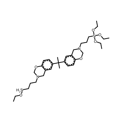 CCO[SiH2]CCCN1COc2ccc(C(C)(C)c3ccc4c(c3)CN(CCC[Si](OCC)(OCC)OCC)CO4)cc2C1